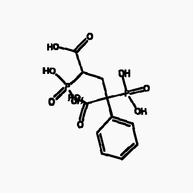 O=C(O)C(CC(C(=O)O)(c1ccccc1)P(=O)(O)O)P(=O)(O)O